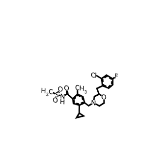 Cc1cc(CN2CCOC(Cc3ccc(F)cc3Cl)C2)c(C2CC2)cc1C(=O)NS(C)(=O)=O